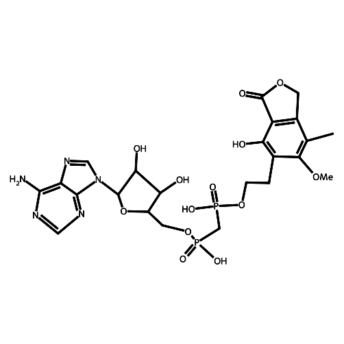 COc1c(C)c2c(c(O)c1CCOP(=O)(O)CP(=O)(O)OCC1OC(n3cnc4c(N)ncnc43)C(O)C1O)C(=O)OC2